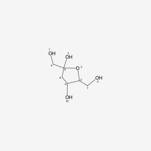 OCC1OC(O)(CO)CC1O